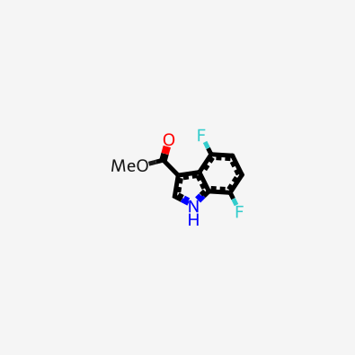 COC(=O)c1c[nH]c2c(F)ccc(F)c12